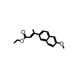 CCOC(=O)C=C(C)c1ccc2cc(OC)ccc2c1